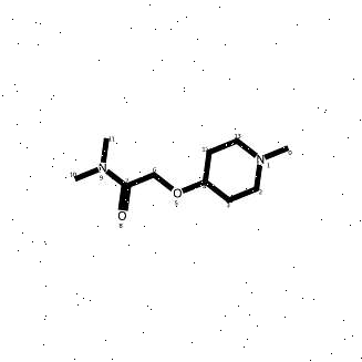 CN1CCC(OCC(=O)N(C)C)CC1